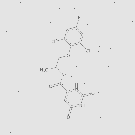 CC(COc1c(Cl)cc(F)cc1Cl)NC(=O)c1cc(=O)[nH]c(=O)[nH]1